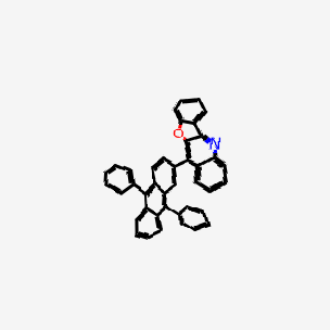 c1ccc(-c2c3ccccc3c(-c3ccccc3)c3cc(-c4c5ccccc5nc5c4oc4ccccc45)ccc23)cc1